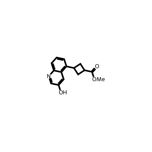 COC(=O)C1CC(c2cccc3ncc(O)cc23)C1